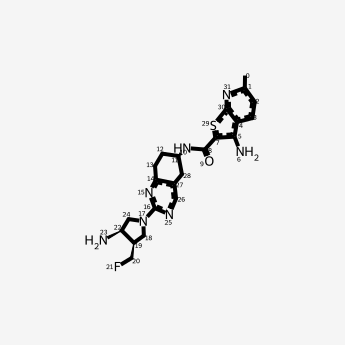 Cc1ccc2c(N)c(C(=O)N[C@@H]3CCc4nc(N5C[C@@H](CF)[C@@H](N)C5)ncc4C3)sc2n1